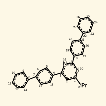 CC(C)c1cc(-c2ccc(-c3ccccc3)cc2)nc(-c2ccc(-c3ccccc3)cc2)n1